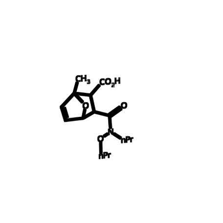 CCCON(CCC)C(=O)C1C2C=CC(C)(O2)C1C(=O)O